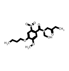 CCCCOc1cc([N+](=O)[O-])c(C(=O)N(CO)CC(=O)CC)cc1OC